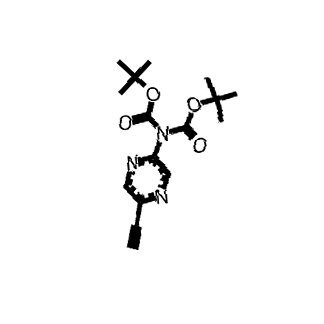 C#Cc1cnc(N(C(=O)OC(C)(C)C)C(=O)OC(C)(C)C)cn1